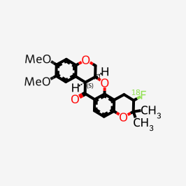 COc1cc2c(cc1OC)[C@@H]1C(=O)c3ccc4c(c3O[C@@H]1CO2)CC([18F])C(C)(C)O4